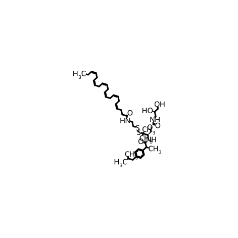 CC/C=C\C/C=C\C/C=C\C/C=C\C/C=C\C/C=C\CCC(=O)NCCSSC(C)(C)[C@@H](COC(=O)NC[C@@H](O)CO)NC(=O)C(C)c1ccc(CC(C)C)cc1